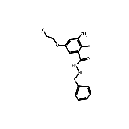 CCCOc1cc(C)c(F)c(C(=O)NNSc2ccccc2)c1